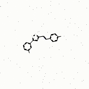 Oc1ccc(/C=C/c2cc(-c3cccc(F)c3)[nH]n2)cc1